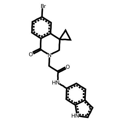 O=C(CN1CC2(CC2)c2cc(Br)ccc2C1=O)Nc1ccc2cc[nH]c2c1